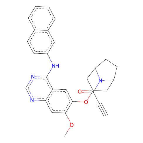 C#CC(=O)N1C2CCC1CC(Oc1cc3c(Nc4ccc5ccccc5c4)ncnc3cc1OC)C2